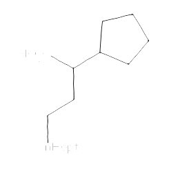 CCCCCCCCCC(C(=O)O)C1CCCC1